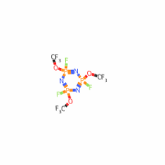 FC(F)(F)OP1(F)=NP(F)(OC(F)(F)F)=NP(F)(OC(F)(F)F)=N1